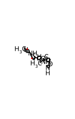 Cc1ccc(OC2CNC2)cc1C(=O)NC(C)c1cccc(-c2ccc(CNC3CCN(C)CC3)s2)c1